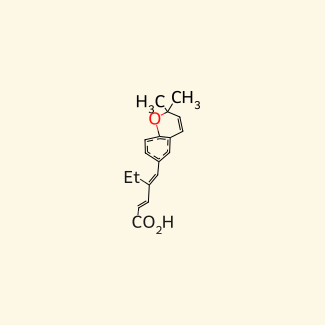 CCC(/C=C/C(=O)O)=C\c1ccc2c(c1)C=CC(C)(C)O2